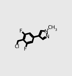 Cn1cc(-c2cc(F)c(CCl)c(F)c2)cn1